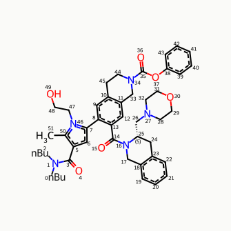 CCCCN(CCCC)C(=O)c1cc(-c2cc3c(cc2C(=O)N2Cc4ccccc4C[C@H]2CN2CCOCC2)CN(C(=O)Oc2ccccc2)CC3)n(CCO)c1C